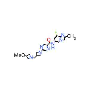 COC1CN(CC2CN(c3cnc(C(=O)Nc4cc(F)c5nc(C)cn5c4)cn3)C2)C1